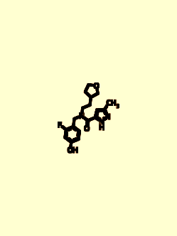 Cc1cc(C(=O)N(CCC2CCOC2)Cc2ccc(O)cc2F)[nH]n1